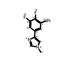 CC(C)c1cc(-c2cn(C)cn2)cc(F)c1F